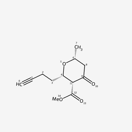 C#CCC[C@@H]1O[C@H](C)CC(=O)[C@@H]1C(=O)OC